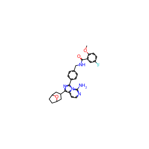 COc1ccc(F)cc1C(=O)NCc1ccc(-c2nc(C3CC4CCC(C3)O4)c3ccnc(N)n23)cc1